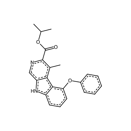 Cc1c(C(=O)OC(C)C)ncc2[nH]c3cccc(Oc4ccccc4)c3c12